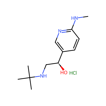 CNc1ccc([C@@H](O)CNC(C)(C)C)cn1.Cl